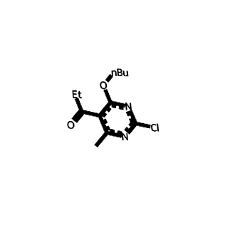 CCCCOc1nc(Cl)nc(C)c1C(=O)CC